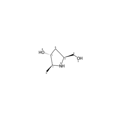 C[C@@H]1N[C@H](CO)C[C@H]1O